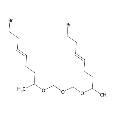 CC(CCC=CCCBr)OCOCOC(C)CCC=CCCBr